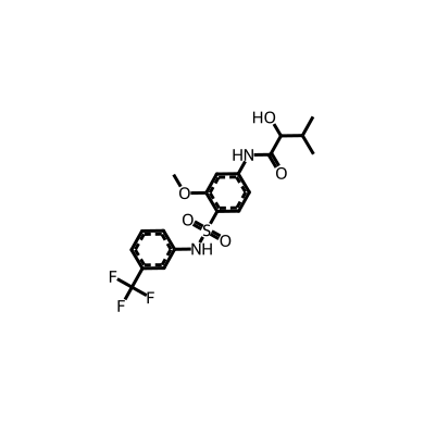 COc1cc(NC(=O)C(O)C(C)C)ccc1S(=O)(=O)Nc1cccc(C(F)(F)F)c1